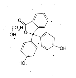 O=C(O)O.O=C1OC(c2ccc(O)cc2)(c2ccc(O)cc2)c2ccccc21